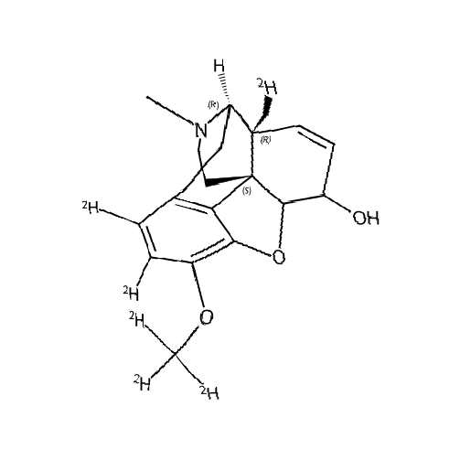 [2H]c1c([2H])c(OC([2H])([2H])[2H])c2c3c1C[C@H]1N(C)CC[C@@]34C(O2)C(O)C=C[C@@]14[2H]